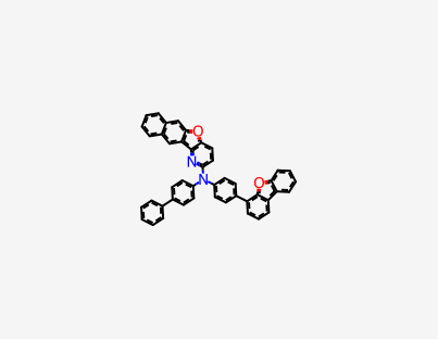 c1ccc(-c2ccc(N(c3ccc(-c4cccc5c4oc4ccccc45)cc3)c3ccc4oc5cc6ccccc6cc5c4n3)cc2)cc1